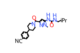 CC(C)CNC(=O)Nc1cc(C(=O)N2CCC(c3ccc(C#N)cc3)CC2)nn1C